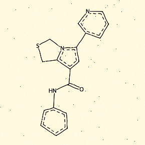 O=C(Nc1ccccc1)c1cc(-c2cccnc2)n2c1CSC2